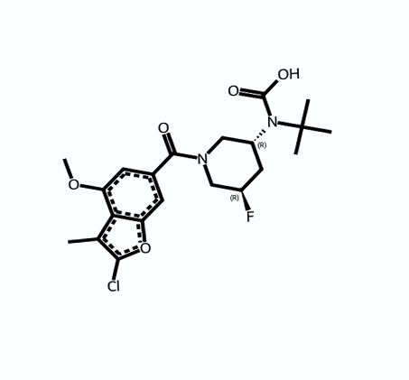 COc1cc(C(=O)N2C[C@H](F)C[C@@H](N(C(=O)O)C(C)(C)C)C2)cc2oc(Cl)c(C)c12